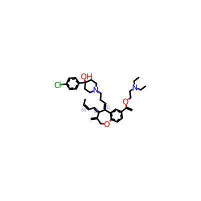 C=C1COc2ccc(C(=C)OCCN(CC)CC)cc2C(=C/CCN2CCC(O)(c3ccc(Cl)cc3)CC2)/C1=C/C=C\C